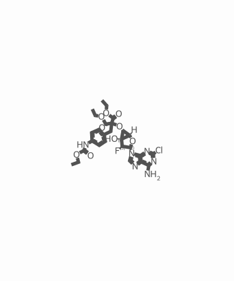 CCOC(=O)Nc1ccc(CC(OC2[C@H]3O[C@@H](n4cnc5c(N)nc(Cl)nc54)[C@@H](F)[C@@]23O)(C(=O)OCC)C(=O)OCC)cc1